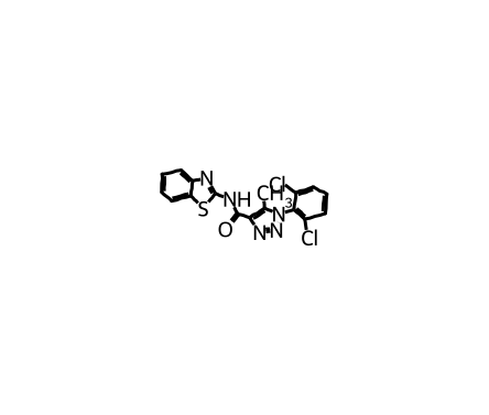 Cc1c(C(=O)Nc2nc3ccccc3s2)nnn1-c1c(Cl)cccc1Cl